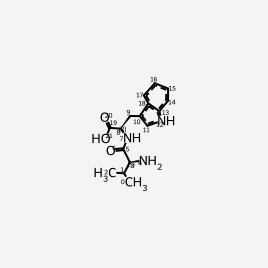 CC(C)[C@H](N)C(=O)N[C@H](Cc1c[nH]c2ccccc12)C(=O)O